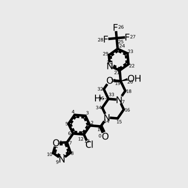 O=C(c1cccc(-c2cnco2)c1Cl)N1CCN2C[C@@](O)(c3ccc(C(F)(F)F)cn3)OC[C@@H]2C1